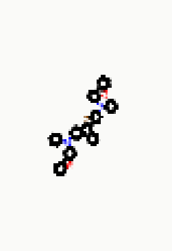 c1ccc(N(c2ccc3oc4ccccc4c3c2)c2ccc3c(c2)c2ccccc2c2c4ccc(N(c5ccccc5)c5cccc6c5oc5ccccc56)cc4sc32)cc1